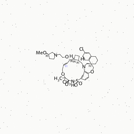 CO[C@@H]1CCN(CCO[C@H]2/C=C/COC(C)(C)C(=O)NS(=O)(=O)c3ccc4c(c3)N(C[C@@H]3CC[C@H]32)C[C@@]2(CCCc3cc(Cl)ccc32)CO4)C1